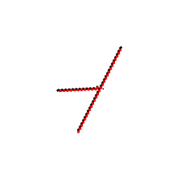 CCCCCCCCCCCCCCCCCCCCCCCCCCC[C](CCCCCCCCCCCCCCCCCCCCCCCCCCC)C(C)CCCCCCCCCCCCCCCCCCCCCCC